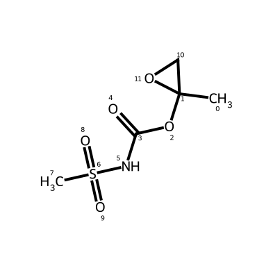 CC1(OC(=O)NS(C)(=O)=O)CO1